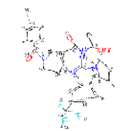 CC(O)n1c(N2CCC[C@@H]2c2ccc(C(F)(F)F)cc2)nc2c(c1=O)CN(C(=O)c1ccc(Cl)cc1)CC2